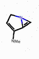 CNC1=CCN2C=C12